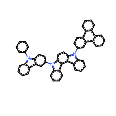 c1ccc(-n2c3ccccc3c3cc(-n4c5ccccc5c5c6c7ccccc7n(-c7ccc8c9ccccc9c9ccccc9c8c7)c6ccc54)ccc32)cc1